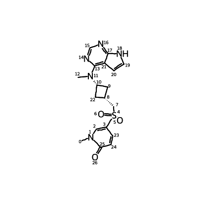 Cn1cc(S(=O)(=O)C[C@H]2C[C@@H](N(C)c3ncnc4[nH]ccc34)C2)ccc1=O